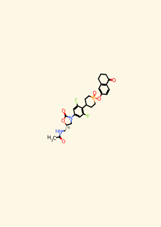 CC(=O)NC[C@H]1CN(c2cc(F)c(C3CCP(=O)(Oc4ccc5c(c4)CCCC5=O)CC3)c(F)c2)C(=O)O1